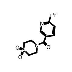 CC(C)c1ccc(C(=O)N2CCS(=O)(=O)CC2)cn1